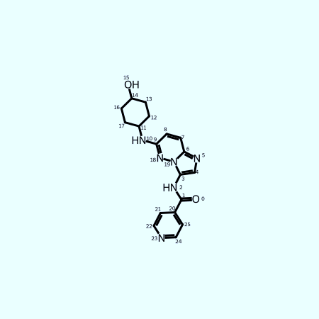 O=C(Nc1cnc2ccc(NC3CCC(O)CC3)nn12)c1ccncc1